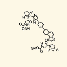 COC(=O)NCC(=O)N1[C@@H]2CC[C@@H](C2)[C@H]1c1ncc(-c2ccc(-c3ccc4c(ccc5nc([C@@H]6C[C@H]7C[C@H]7N6C(=O)CNC(=O)OC)[nH]c54)c3)cc2)[nH]1